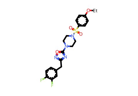 CCOc1ccc(S(=O)(=O)N2CCN(c3nc(Cc4ccc(F)c(F)c4)no3)CC2)cc1